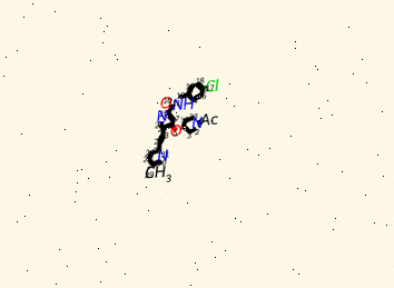 CC(=O)N1CCC(Oc2cc(C(=O)NCc3ccc(Cl)cc3)ncc2C#Cc2ccc(C)cn2)CC1